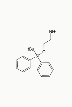 CC(C)(C)[Si](OCC[NH])(c1ccccc1)c1ccccc1